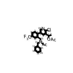 CC(=O)OC(C)c1cc(-c2ccc(C(F)(F)F)cc2CN(Cc2ccccc2)C(C)=O)cnc1Cl